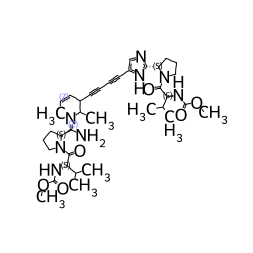 C/C=C\C(C#CC#Cc1cnc([C@@H]2CCCN2C(=O)[C@@H](NC(=O)OC)C(C)C)[nH]1)C(C)/N=C(\N)[C@@H]1CCCN1C(=O)[C@@H](NC(=O)OC)C(C)C